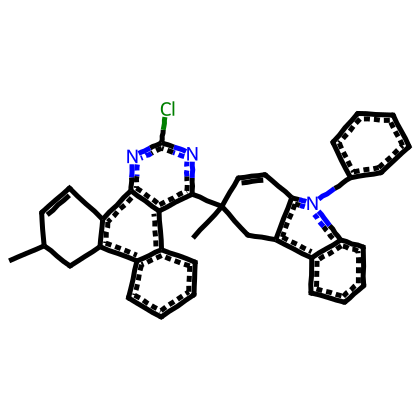 CC1C=Cc2c(c3ccccc3c3c(C4(C)C=Cc5c(c6ccccc6n5-c5ccccc5)C4)nc(Cl)nc23)C1